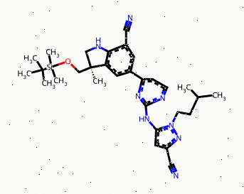 CC(C)CCn1nc(C#N)cc1Nc1nccc(-c2cc(C#N)c3c(c2)[C@@](C)(CO[Si](C)(C)C(C)(C)C)CN3)n1